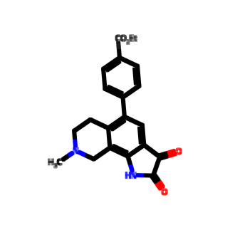 CCOC(=O)c1ccc(-c2cc3c(c4c2CCN(C)C4)NC(=O)C3=O)cc1